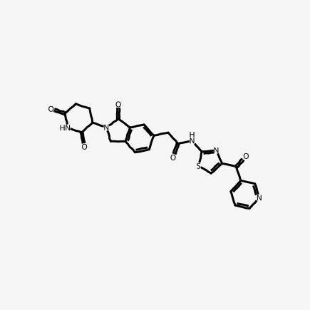 O=C1CCC(N2Cc3ccc(CC(=O)Nc4nc(C(=O)c5cccnc5)cs4)cc3C2=O)C(=O)N1